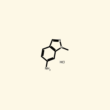 Cl.Cn1ncc2ccc(N)cc21